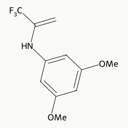 C=C(Nc1cc(OC)cc(OC)c1)C(F)(F)F